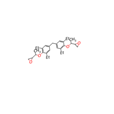 CCc1cc(Cc2cc(CC)c(OC(C)C3CO3)c(CC)c2)cc(CC)c1OC(C)C1CO1